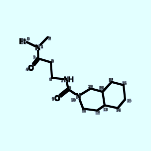 CCN(C)C(=O)CCNC(=O)N1CCC2CCCCC2C1